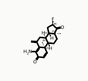 C=C1C[C@@H]2[C@H](CC[C@]3(C)C(=O)[C@H](F)C[C@@H]23)[C@@]2(C)C=CC(=O)C(N)=C12